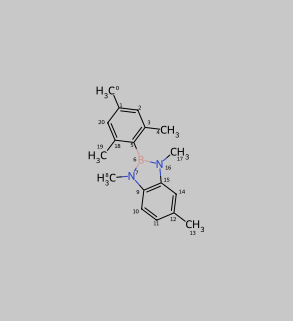 Cc1cc(C)c(B2N(C)c3ccc(C)cc3N2C)c(C)c1